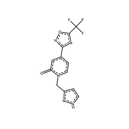 O=c1cc(-c2noc(C(F)(F)F)n2)ccn1Cc1cc[nH]n1